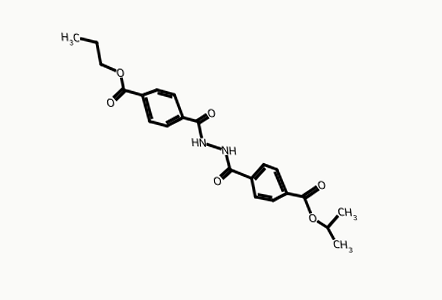 CCCOC(=O)c1ccc(C(=O)NNC(=O)c2ccc(C(=O)OC(C)C)cc2)cc1